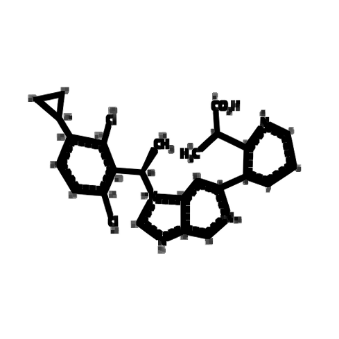 CC(C(=O)O)c1ncccc1-c1cc2c(cn1)ncn2[C@H](C)c1c(Cl)ccc(C2CC2)c1Cl